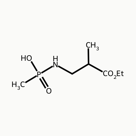 CCOC(=O)C(C)CNP(C)(=O)O